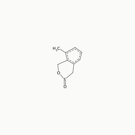 Cc1cccc2c1COS(=O)C2